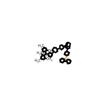 Cc1cc(C)c(C(c2cccc(C3=CC=CC(C4C=CC(C56CC7CC(C5)CC(c5ccc(-p8c9ccccc9c9ccccc98)cc5)(C7)C6)=CC4)=CC3)c2)c2c(C)cc(C)cc2C)c(C)c1